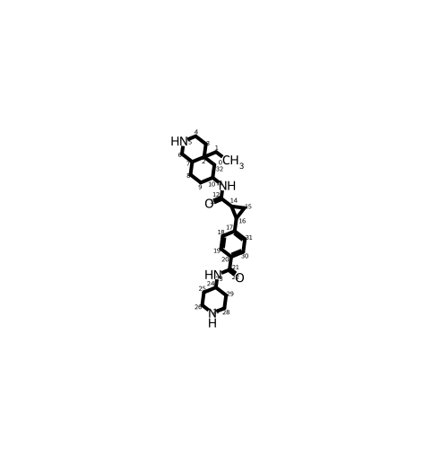 CCC12CCNCC1CCC(NC(=O)C1CC1c1ccc(C(=O)NC3CCNCC3)cc1)C2